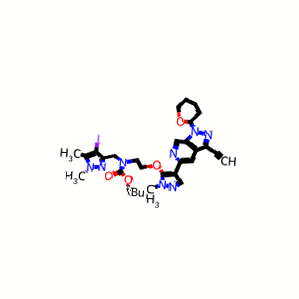 C#Cc1nn(C2CCCCO2)c2cnc(-c3cnn(C)c3OCCN(Cc3nn(C)c(C)c3I)C(=O)OC(C)(C)C)cc12